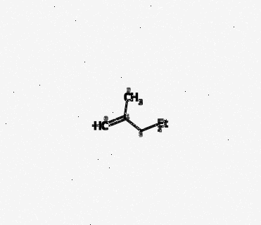 [CH]=C(C)CC[CH2]